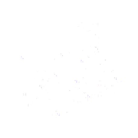 CC(C)(C)OC(=O)CC(CCCCN)(C(N)=O)N1CCNCCN(C(CCCCN)(CC(=O)OC(C)(C)C)C(N)=O)CCN(C(CCCCN)(CC(=O)OC(C)(C)C)C(N)=O)CC1